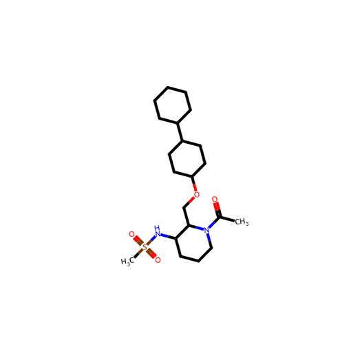 CC(=O)N1CCCC(NS(C)(=O)=O)C1COC1CCC(C2CCCCC2)CC1